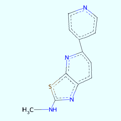 CNc1nc2ccc(-c3ccncc3)nc2s1